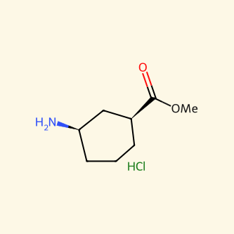 COC(=O)[C@H]1CCC[C@@H](N)C1.Cl